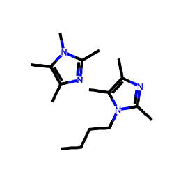 CCCCn1c(C)nc(C)c1C.Cc1nc(C)n(C)c1C